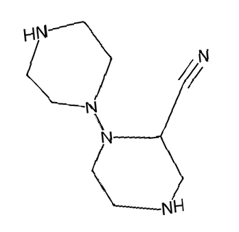 N#CC1CNCCN1N1CCNCC1